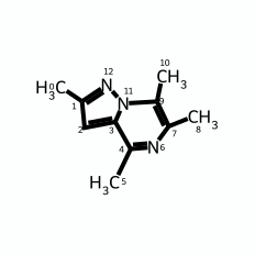 Cc1cc2c(C)nc(C)c(C)n2n1